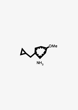 COc1ccc(CC2CC2)cc1.N